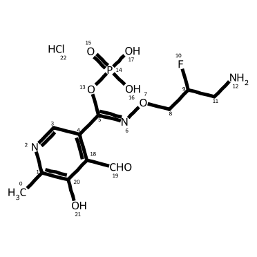 Cc1ncc(C(=NOCC(F)CN)OP(=O)(O)O)c(C=O)c1O.Cl